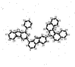 c1ccc(-c2nc(-c3cccc4c3sc3cc(-n5c6ccc7ccccc7c6c6c7ccccc7ccc65)ccc34)nc3c2oc2ccccc23)cc1